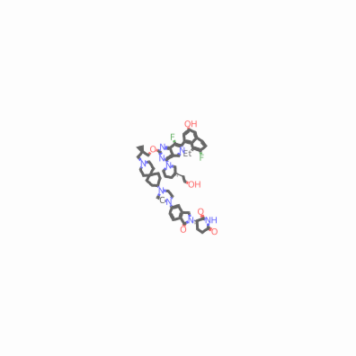 CCc1c(F)ccc2cc(O)cc(-c3ncc4c(N5CCC[C@H](CCO)C5)nc(OCC5(CN6CCC7(CCC(N8CCN(c9ccc%10c(c9)CN([C@H]9CCC(=O)NC9=O)C%10=O)CC8)CC7)CC6)CC5)nc4c3F)c12